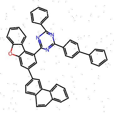 c1ccc(-c2ccc(-c3nc(-c4ccccc4)nc(-c4cc(-c5ccc6ccc7ccccc7c6c5)cc5oc6ccccc6c45)n3)cc2)cc1